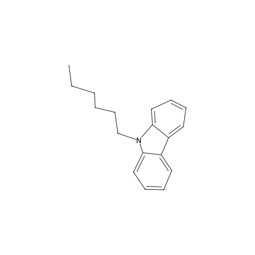 CCCCCCn1c2cc[c]cc2c2ccccc21